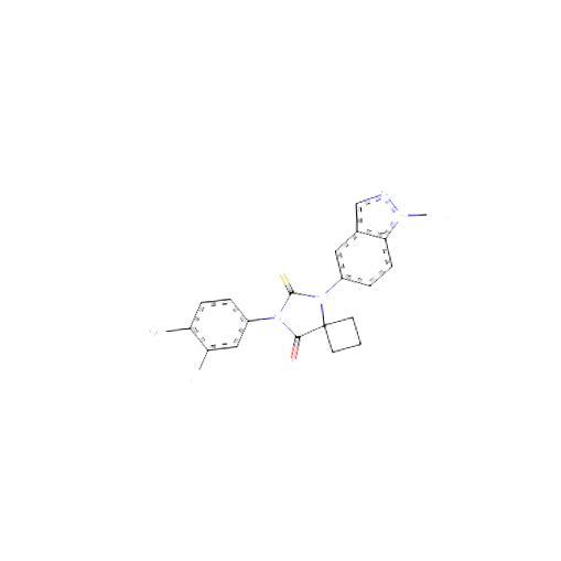 Cn1ncc2cc(N3C(=S)N(c4ccc(C#N)c(C(F)(F)F)c4)C(=O)C34CCC4)ccc21